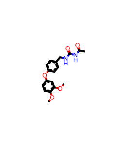 COc1ccc(Oc2ccc(CNC(=O)NC(C)=O)cc2)cc1OC